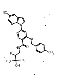 Cc1ccc(CNc2cc(-n3ccc4cc(C#N)cnc43)ncc2C(=O)NCC(F)C(C)(C)O)cn1